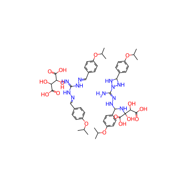 CC(C)Oc1ccc(C2NN(C(N)=NNC(NC(O)(C(=O)O)C(O)C(=O)O)c3ccc(OC(C)C)cc3)N2)cc1.CC(C)Oc1ccc(C=NNC(=N)NN=Cc2ccc(OC(C)C)cc2)cc1.O=C(O)C(O)C(O)C(=O)O